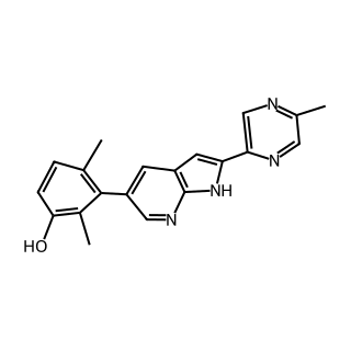 Cc1cnc(-c2cc3cc(-c4c(C)ccc(O)c4C)cnc3[nH]2)cn1